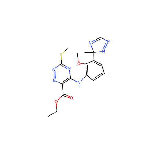 CCOC(=O)c1nnc(SC)nc1Nc1cccc(C2(C)N=CN=N2)c1OC